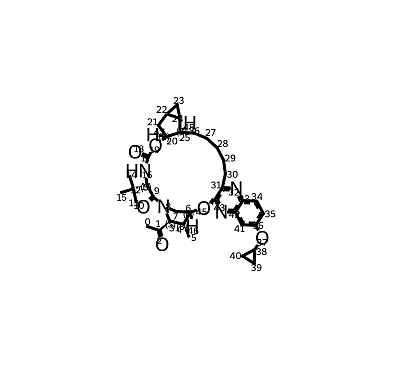 CC(=O)[C@@H]1[C@H](C)[C@@H]2CN1C(=O)[C@H](C(C)(C)C)NC(=O)O[C@@H]1CC3CC3[C@H]1CCCCCc1nc3ccc(OC4CC4)cc3nc1O2